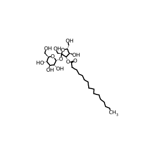 CCCCCCCCCCCCCCCC(=O)O[C@H]1[C@H](O)[C@@H](CO)O[C@@]1(CO)O[C@H]1O[C@H](CO)[C@@H](O)[C@H](O)[C@H]1O